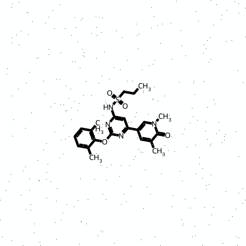 CCCS(=O)(=O)Nc1cc(-c2cc(C)c(=O)n(C)c2)nc(Oc2c(C)cccc2C)n1